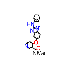 CNC(=O)c1cnccc1Oc1ccc2c(c1)nc(NC1CC3CCC1C3)n2C